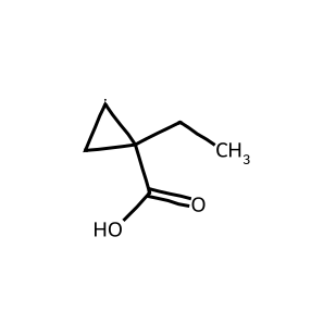 CCC1(C(=O)O)[CH]C1